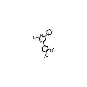 COc1ccc(-c2cc(N3CCCC3)nc(Cl)n2)cc1OC